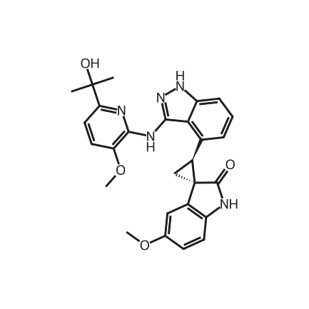 COc1ccc2c(c1)[C@]1(C[C@H]1c1cccc3[nH]nc(Nc4nc(C(C)(C)O)ccc4OC)c13)C(=O)N2